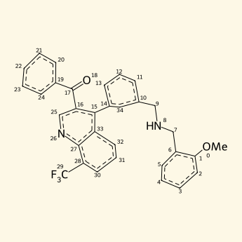 COc1ccccc1CNCc1cccc(-c2c(C(=O)c3ccccc3)cnc3c(C(F)(F)F)cccc23)c1